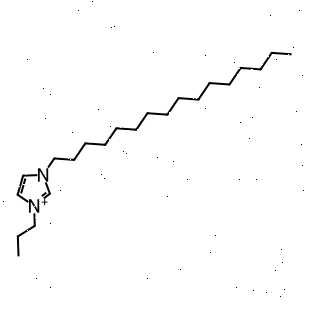 CCCCCCCCCCCCCCCCn1cc[n+](CCC)c1